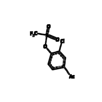 CC(=O)c1ccc(OS(=O)(=O)C(F)(F)F)c(Cl)c1